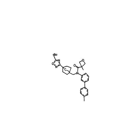 Cc1ccc(-c2cccc(N(CC34CCC(c5noc(C(C)(C)C)n5)(CC3)CC4)C(=O)C3(C)COC3)c2)cc1